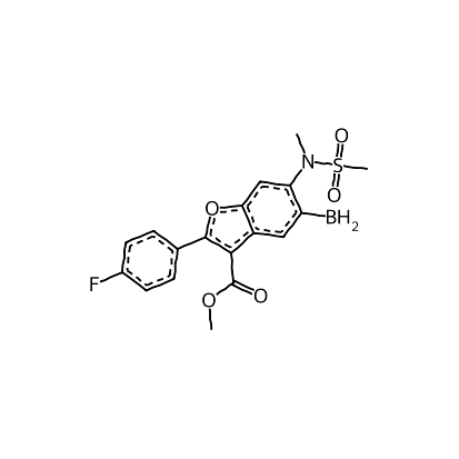 Bc1cc2c(C(=O)OC)c(-c3ccc(F)cc3)oc2cc1N(C)S(C)(=O)=O